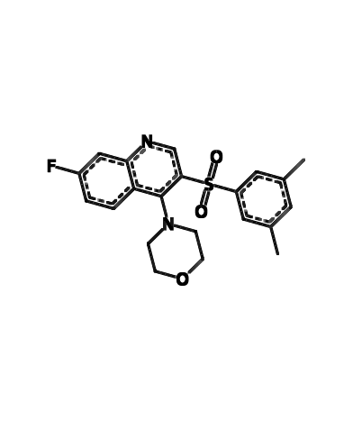 Cc1cc(C)cc(S(=O)(=O)c2cnc3cc(F)ccc3c2N2CCOCC2)c1